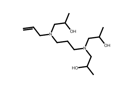 C=CCN(CCCN(CC(C)O)CC(C)O)CC(C)O